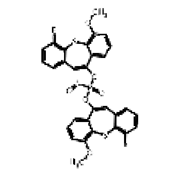 COc1cccc2c1Sc1c(F)cccc1C=C2OP(=O)(N=O)OC1=Cc2cccc(F)c2Sc2c(OC)cccc21